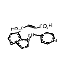 O=C(O)C=CC(=O)O.c1ccc2c(c1)ccn2Nc1ccncc1